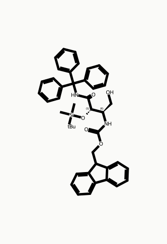 CC(C)(C)[Si](C)(C)O[C@H](C(=O)NC(c1ccccc1)(c1ccccc1)c1ccccc1)[C@@H](CO)NC(=O)OCC1c2ccccc2-c2ccccc21